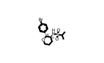 CC(C)S(=O)(=O)N[C@H]1CCCO[C@@H]1c1ccc(Br)cc1